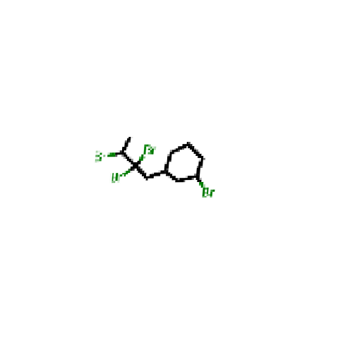 CC(Br)C(Br)(Br)CC1CCCC(Br)C1